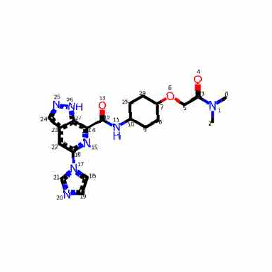 CN(C)C(=O)COC1CCC(NC(=O)c2nc(-n3ccnc3)cc3cn[nH]c23)CC1